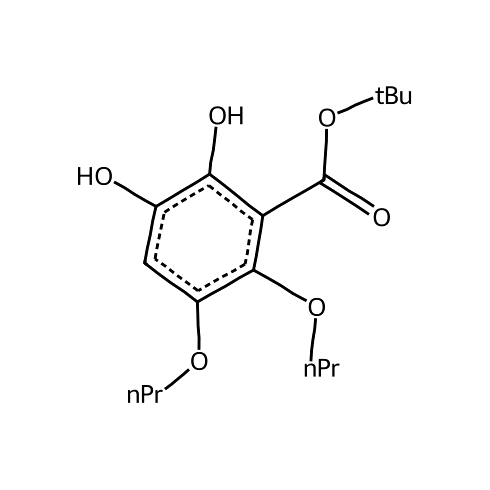 CCCOc1cc(O)c(O)c(C(=O)OC(C)(C)C)c1OCCC